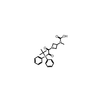 CN(C(=O)O)C1CN(C(=O)C(=O)[Si](c2ccccc2)(c2ccccc2)C(C)(C)C)C1